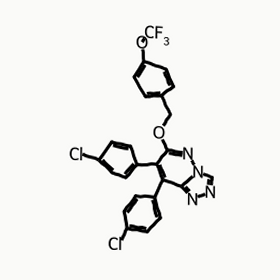 FC(F)(F)Oc1ccc(COc2nn3cnnc3c(-c3ccc(Cl)cc3)c2-c2ccc(Cl)cc2)cc1